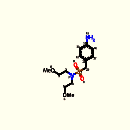 COCCN(CCOC)S(=O)(=O)Cc1ccc(N)cc1